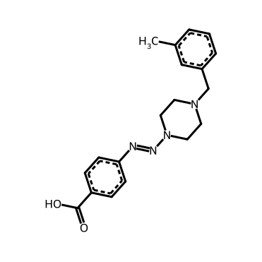 Cc1cccc(CN2CCN(N=Nc3ccc(C(=O)O)cc3)CC2)c1